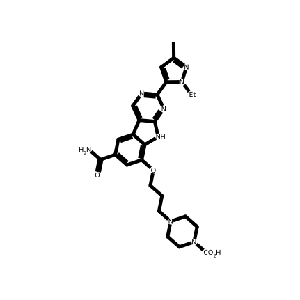 CCn1nc(C)cc1-c1ncc2c(n1)[nH]c1c(OCCCN3CCN(C(=O)O)CC3)cc(C(N)=O)cc12